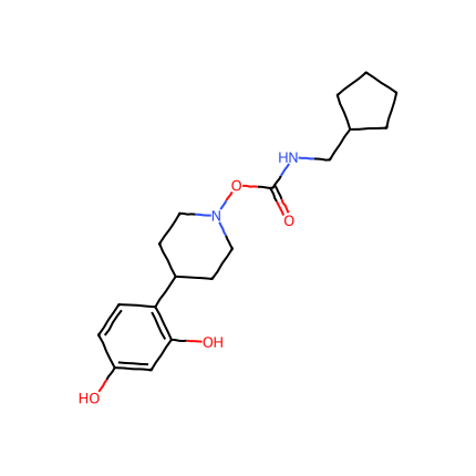 O=C(NCC1CCCC1)ON1CCC(c2ccc(O)cc2O)CC1